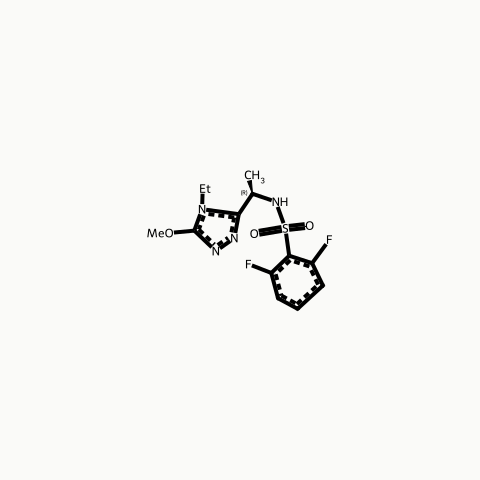 CCn1c(OC)nnc1[C@@H](C)NS(=O)(=O)c1c(F)cccc1F